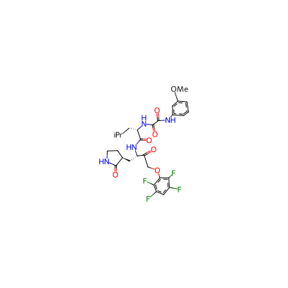 COc1cccc(NC(=O)C(=O)N[C@@H](CC(C)C)C(=O)N[C@@H](C[C@@H]2CCNC2=O)C(=O)COc2c(F)c(F)cc(F)c2F)c1